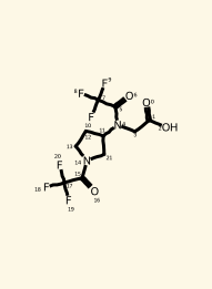 O=C(O)CN(C(=O)C(F)(F)F)C1CCN(C(=O)C(F)(F)F)C1